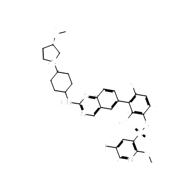 COc1ncc(Cl)cc1S(=O)(=O)Nc1ccc(F)c(-c2ccc3nc(NC4CCC(N5CC[C@@H](OC)C5)CC4)ncc3c2)c1F